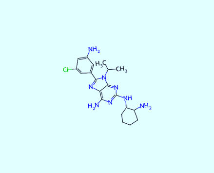 CC(C)n1c(-c2cc(N)cc(Cl)c2)nc2c(N)nc(NC3CCCCC3N)nc21